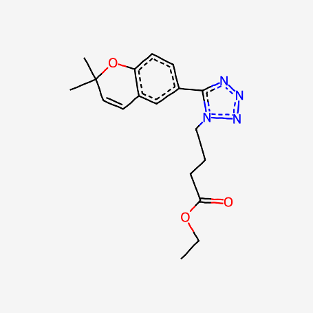 CCOC(=O)CCCn1nnnc1-c1ccc2c(c1)C=CC(C)(C)O2